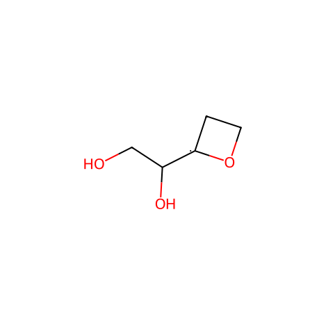 OCC(O)[C]1CCO1